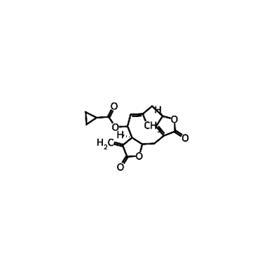 C=C1C(=O)OC2CC3=C[C@@H](C/C(C)=C/C(OC(=O)C4CC4)[C@H]12)OC3=O